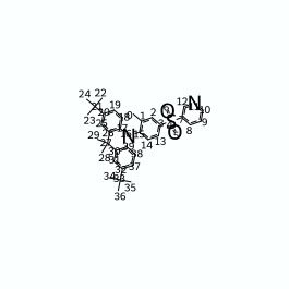 Cc1cc(S(=O)(=O)c2cccnc2)ccc1N1c2ccc(C(C)(C)C)cc2C(C)(C)c2cc(C(C)(C)C)ccc21